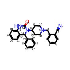 N#Cc1ccccc1CN1CCC(N2C(=O)Nc3ccccc3C2c2ccccc2)CC1